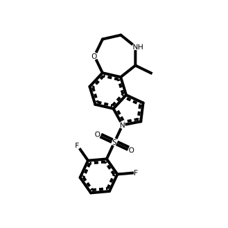 CC1NCCOc2ccc3c(ccn3S(=O)(=O)c3c(F)cccc3F)c21